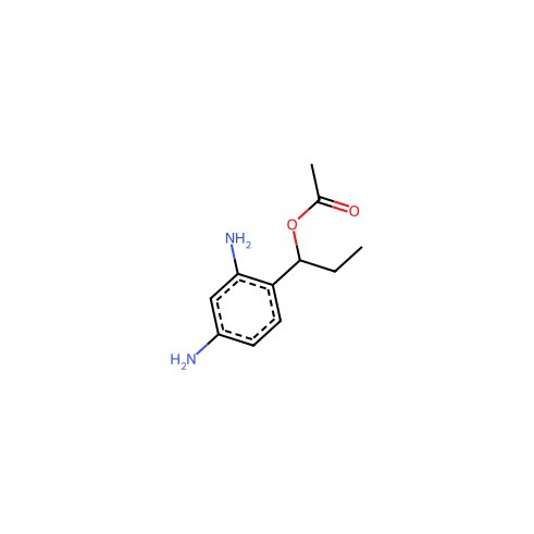 CCC(OC(C)=O)c1ccc(N)cc1N